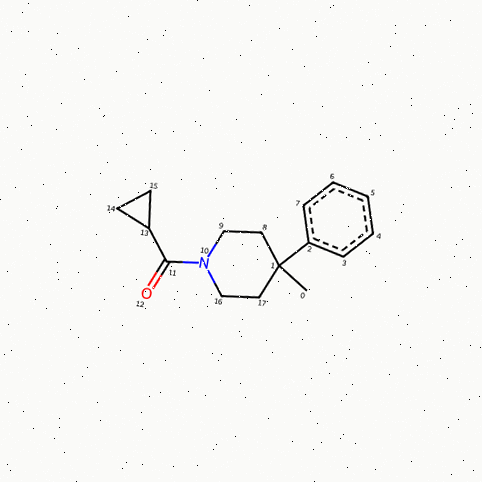 CC1(c2ccccc2)CCN(C(=O)C2CC2)CC1